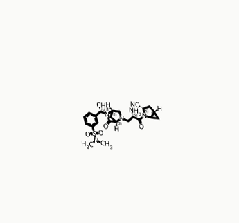 C[C@@H](c1cccc(S(=O)(=O)N(C)C)c1)N1C(=O)[C@@H]2C[C@H]1CN2C[C@H](N)C(=O)N1C2C[C@H]2C[C@H]1C#N